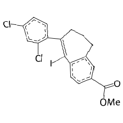 COC(=O)c1ccc2c(c1)CCCC(c1ccc(Cl)cc1Cl)=C2I